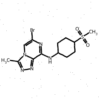 Cc1nnc2c(NC3CCC(S(C)(=O)=O)CC3)nc(Br)cn12